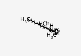 CCCCCCCCCCCCCCCCNCc1ccccc1C.Cl